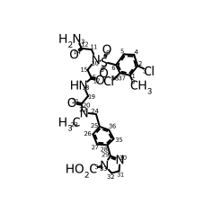 Cc1c(Cl)ccc(S(=O)(=O)N(CC(N)=O)CC(=O)NCC(=O)N(C)Cc2ccc(C3=NCCN3C(=O)O)cc2)c1Cl